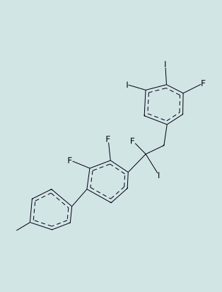 Cc1ccc(-c2ccc(C(F)(I)Cc3cc(F)c(I)c(I)c3)c(F)c2F)cc1